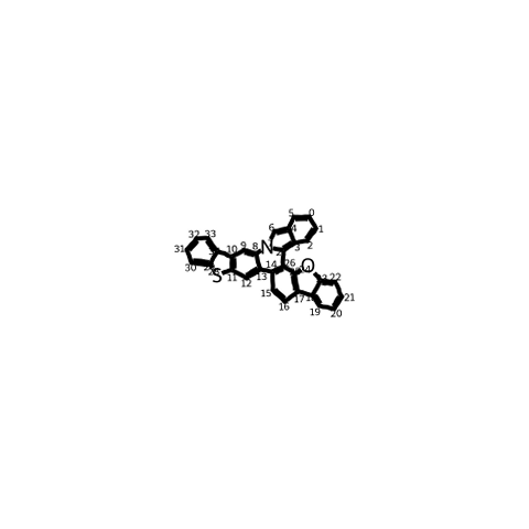 c1ccc2c(c1)cn1c3cc4c(cc3c3ccc5c6ccccc6oc5c3c21)sc1ccccc14